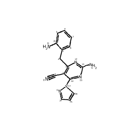 N#Cc1c(Cc2ccccc2N)nc(N)nc1-n1cccn1